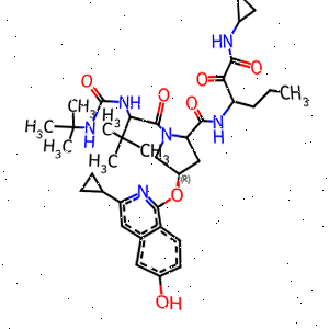 CCCC(NC(=O)C1C[C@@H](Oc2nc(C3CC3)cc3cc(O)ccc23)CN1C(=O)C(NC(=O)NC(C)(C)C)C(C)(C)C)C(=O)C(=O)NC1CC1